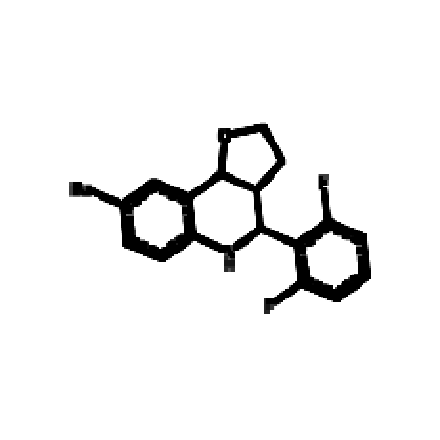 CCC(C)c1ccc2c(c1)C1OCCC1C(c1c(F)cccc1F)N2